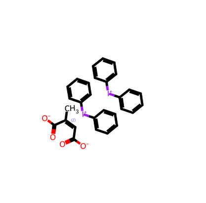 C/C(=C/C(=O)[O-])C(=O)[O-].c1ccc([I+]c2ccccc2)cc1.c1ccc([I+]c2ccccc2)cc1